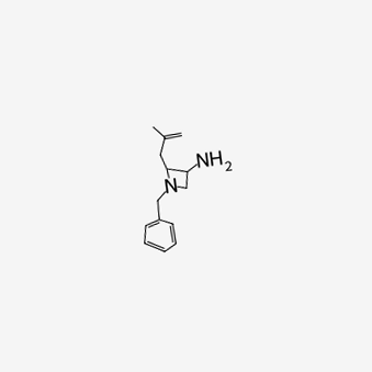 C=C(C)CC1C(N)CN1Cc1ccccc1